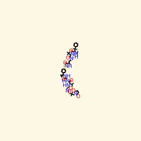 CNC(C(=O)NC(C(=O)N(C)C/C=C(\C)C(=O)NSc1ccc(C2(NC(=O)CNC(=O)C(NC(=O)CN(C)OCC(C)(C)CN3C(=O)C=CC3=O)C(C)C)CC2)cc1)C(C)(C)C)C(C)(C)c1ccccc1